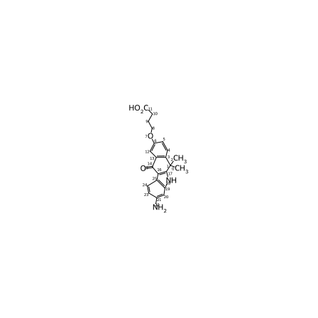 CC1(C)c2ccc(OCCCC(=O)O)cc2C(=O)c2c1[nH]c1cc(N)ccc21